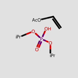 C=COC(C)=O.CC(C)OP(=O)(O)OC(C)C